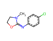 CN1CCO/C1=N/c1ccc(Cl)cc1